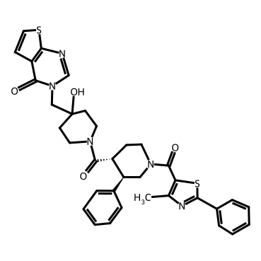 Cc1nc(-c2ccccc2)sc1C(=O)N1CC[C@@H](C(=O)N2CCC(O)(Cn3cnc4sccc4c3=O)CC2)[C@H](c2ccccc2)C1